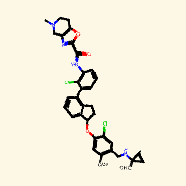 COc1cc(OC2CCc3c(-c4cccc(NC(=O)c5nc6c(o5)CCN(C)C6)c4Cl)cccc32)c(Cl)cc1CNC1(C=O)CC1